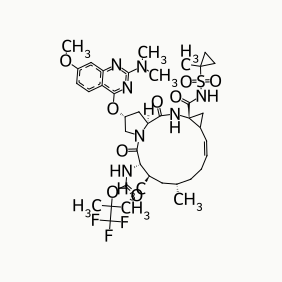 COc1ccc2c(O[C@@H]3C[C@H]4C(=O)N[C@]5(C(=O)NS(=O)(=O)C6(C)CC6)CC5/C=C\CC[C@H](C)C[C@@H](C)[C@H](NC(=O)OC(C)(C)C(F)(F)F)C(=O)N4C3)nc(N(C)C)nc2c1